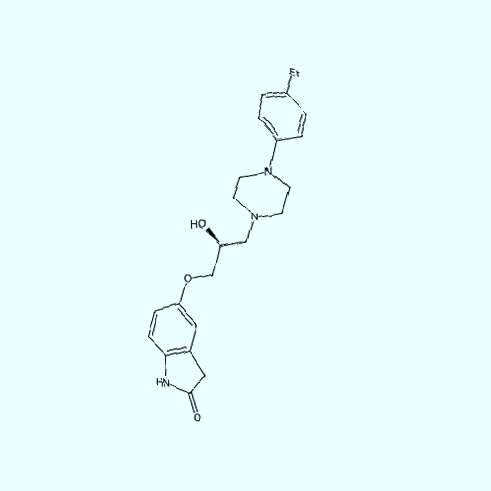 CCc1ccc(N2CCN(C[C@H](O)COc3ccc4c(c3)CC(=O)N4)CC2)cc1